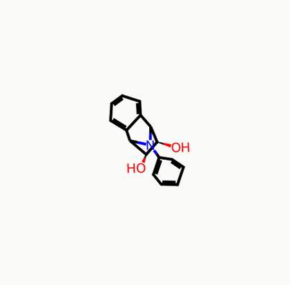 O[C@@H]1C2c3ccccc3C([C@@H]1O)N2c1ccccc1